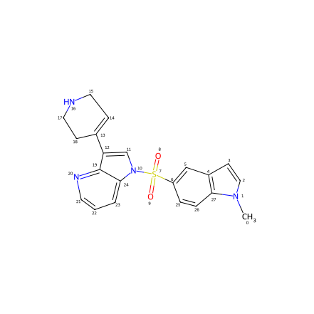 Cn1ccc2cc(S(=O)(=O)n3cc(C4=CCNCC4)c4ncccc43)ccc21